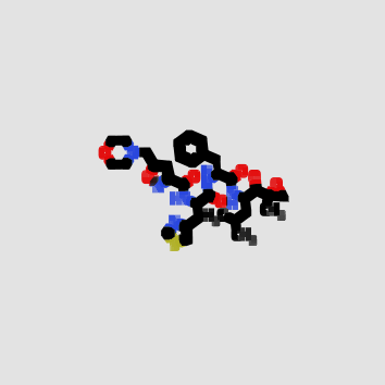 CC(C)CC(NC(=O)[C@H](Cc1ccccc1)NC(=O)C(Cc1cscn1)NC(=O)c1cc(CN2CCOCC2)on1)C(=O)C1(C)CO1